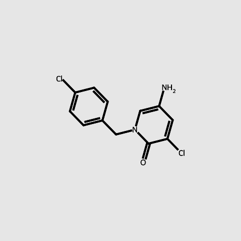 Nc1cc(Cl)c(=O)n(Cc2ccc(Cl)cc2)c1